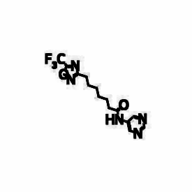 O=C(CCCCCCc1noc(C(F)(F)F)n1)Nc1cncnc1